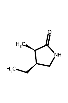 CC[C@@H]1CNC(=O)[C@@H]1C